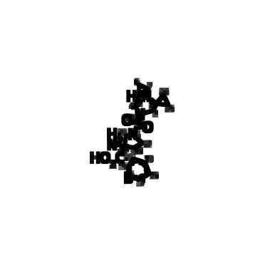 NC1(CN(CC2CC2)S(=O)(=O)N2C[C@H](c3cbccc3)[C@](N)(C(=O)O)C2)CC1